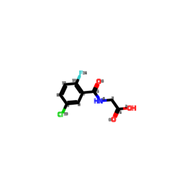 O=C(O)CNC(=O)c1cc(Cl)ccc1F